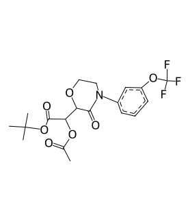 CC(=O)OC(C(=O)OC(C)(C)C)C1OCCN(c2cccc(OC(F)(F)F)c2)C1=O